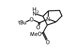 COC(=O)C1C(N)C2CCC1N2C(=O)OC(C)(C)C